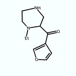 [CH2]CN1CCNCC1C(=O)c1ccoc1